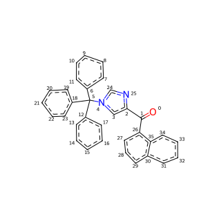 O=C(c1cn(C(c2ccccc2)(c2ccccc2)c2ccccc2)cn1)c1cccc2ccccc12